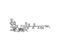 CC(C)(COP(=O)(O)OP(=O)(O)OCC1OC(n2cnc3c(N)ncnc32)C(O)C1OP(=O)(O)O)C(O)C(=O)NCCC(=O)NCCC(=O)CC(O)CCCN